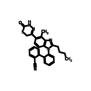 CCCCc1nc2c(C)c(C3=NNC(=O)SC3)ccc2n1-c1ccccc1-c1ccccc1C#N